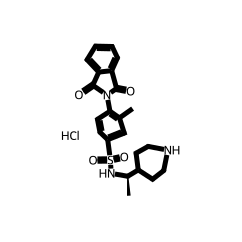 Cc1cc(S(=O)(=O)N[C@H](C)C2CCNCC2)ccc1N1C(=O)c2ccccc2C1=O.Cl